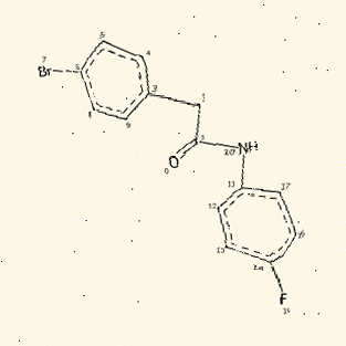 O=C(Cc1ccc(Br)cc1)Nc1ccc(F)cc1